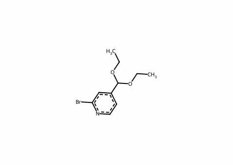 CCOC(OCC)c1ccnc(Br)c1